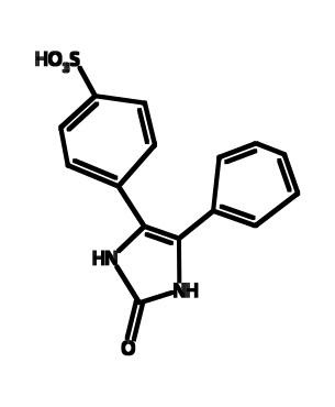 O=c1[nH]c(-c2ccccc2)c(-c2ccc(S(=O)(=O)O)cc2)[nH]1